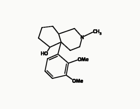 COc1cccc(C23CCN(C)CC2CCCC3O)c1OC